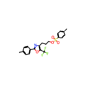 Cc1ccc(-c2nc(CCCOS(=O)(=O)c3ccc(C)cc3)c(C(F)(F)F)o2)cc1